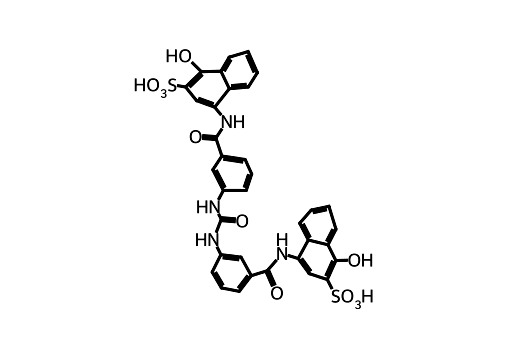 O=C(Nc1cccc(C(=O)Nc2cc(S(=O)(=O)O)c(O)c3ccccc23)c1)Nc1cccc(C(=O)Nc2cc(S(=O)(=O)O)c(O)c3ccccc23)c1